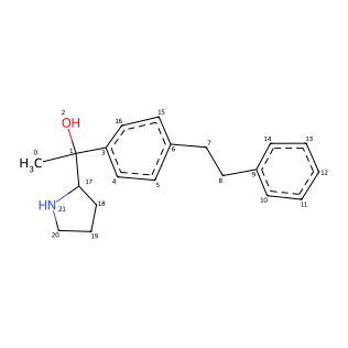 CC(O)(c1ccc(CCc2ccccc2)cc1)C1CCCN1